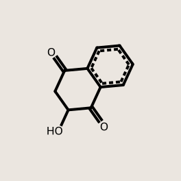 O=C1CC(O)C(=O)c2ccccc21